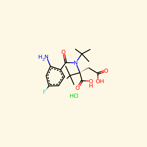 CC(C)(C)N(C(=O)c1ccc(F)cc1N)[C@@](CC(=O)O)(C(=O)O)C(C)(C)C.Cl